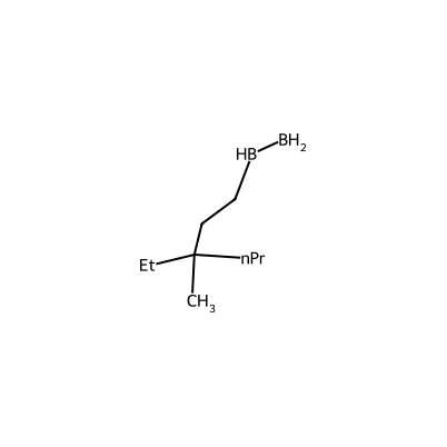 BBCCC(C)(CC)CCC